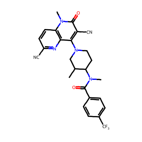 CC1CN(c2c(C#N)c(=O)n(C)c3ccc(C#N)nc23)CCC1N(C)C(=O)c1ccc(C(F)(F)F)cc1